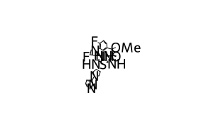 COC(C(=O)NC(=N)SC(=N)NC1CCN(c2cccnn2)C1)c1ccc(F)c(N2CC(F)C2)c1